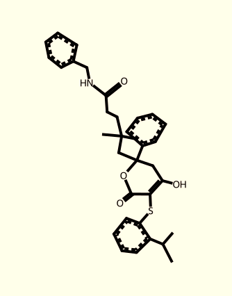 CC(C)c1ccccc1SC1=C(O)CC(CC(C)(C)CCC(=O)NCc2ccccc2)(c2ccccc2)OC1=O